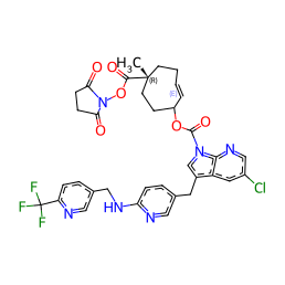 C[C@@]1(C(=O)ON2C(=O)CCC2=O)CC/C=C/C(OC(=O)n2cc(Cc3ccc(NCc4ccc(C(F)(F)F)nc4)nc3)c3cc(Cl)cnc32)CC1